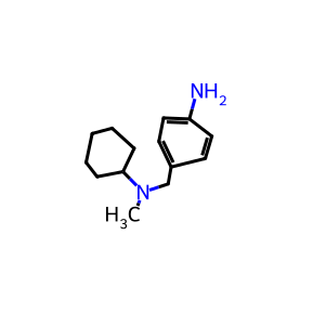 CN(Cc1ccc(N)cc1)C1CCCCC1